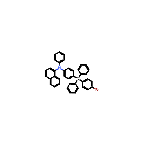 Brc1ccc([Si](c2ccccc2)(c2ccccc2)c2ccc(N(c3ccccc3)c3cccc4ccccc34)cc2)cc1